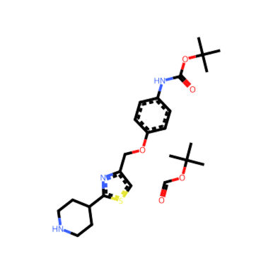 CC(C)(C)OC(=O)Nc1ccc(OCc2csc(C3CCNCC3)n2)cc1.CC(C)(C)OC=O